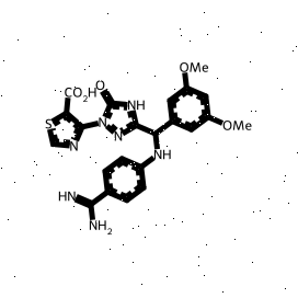 COc1cc(OC)cc(C(Nc2ccc(C(=N)N)cc2)c2nn(-c3ncsc3C(=O)O)c(=O)[nH]2)c1